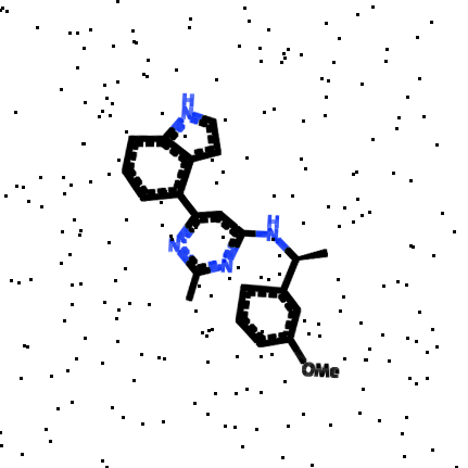 COc1cccc([C@H](C)Nc2cc(-c3cccc4[nH]ccc34)nc(C)n2)c1